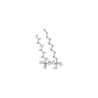 CCCCCCCCCC[Si](Cl)(Cl)Cl.CCCCCCCC[Si](Cl)(Cl)Cl